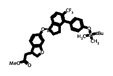 COC(=O)CC1COc2cc(O[C@@H]3CCc4c3ccc(C(F)(F)F)c4-c3ccc(O[Si](C)(C)C(C)(C)C)cc3)ccc21